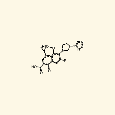 COc1c(N2CCC(n3cncn3)C2)c(F)cc2c(=O)c(C(=O)O)cn(C3CC3)c12